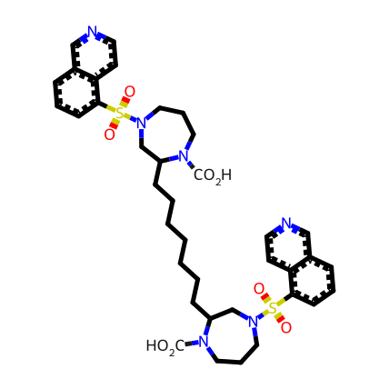 O=C(O)N1CCCN(S(=O)(=O)c2cccc3cnccc23)CC1CCCCCCCC1CN(S(=O)(=O)c2cccc3cnccc23)CCCN1C(=O)O